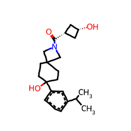 CC(C)c1cccc(C2(O)CCC3(CC2)CN(C(=O)[C@H]2C[C@@H](O)C2)C3)c1